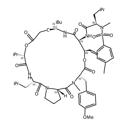 C=C[C@H]1OC(=O)[C@H](Cc2ccc(OC)cc2)N(C)C(=O)[C@@H]2CCCN2C(=O)[C@H](CC(C)C)NC(=O)[C@H](C(C)C)OC(=O)CC[C@@H]([C@@H](C)CC)NC(=O)[C@H]1NC(=O)[C@@H](CC(C)C)N(C)S(=O)(=O)c1ccc(C)cc1